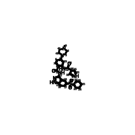 CN1CCN(c2ccc(C(=O)Nc3n[nH]c4ccc(S(=O)(=O)c5ccccc5)cc34)c(NC(=O)c3cc[nH]c3)c2)CC1